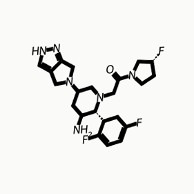 NC1CC(N2Cc3c[nH]nc3C2)CN(CC(=O)N2CC[C@@H](F)C2)[C@@H]1C1CC(F)=CC=C1F